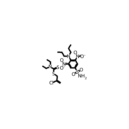 C=C(Cl)CSC(=S)N(CC)CC.CCCN(CCC)c1c([N+](=O)[O-])cc(S(N)(=O)=O)cc1[N+](=O)[O-]